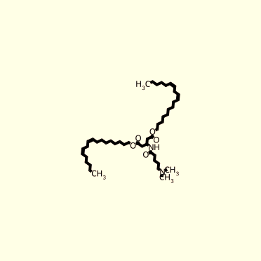 CCCCC/C=C\C/C=C\CCCCCCCCOC(=O)CC(CC(=O)OCCCCCCCC/C=C\C/C=C\CCCCC)NC(=O)CCCCN(C)C